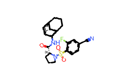 N#Cc1ccc(S(=O)(=O)N2CCC[C@@H]2C(=O)NC2C3CCCC4(C3)CC2C4)c(F)c1